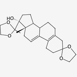 CC1([C@@]2(O)CCC3C4CCC5=C(CCC6(C5)OCCO6)C4=CC[C@@]32C)OCCO1